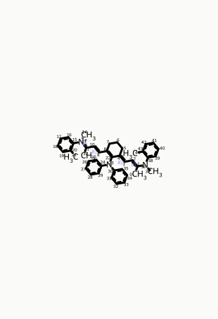 C/C(=C\C=C1/CCCC(/C=C/C(C)=[N+](\C)c2ccccc2C)=C1N(c1ccccc1)c1ccccc1)N(C)c1ccccc1C